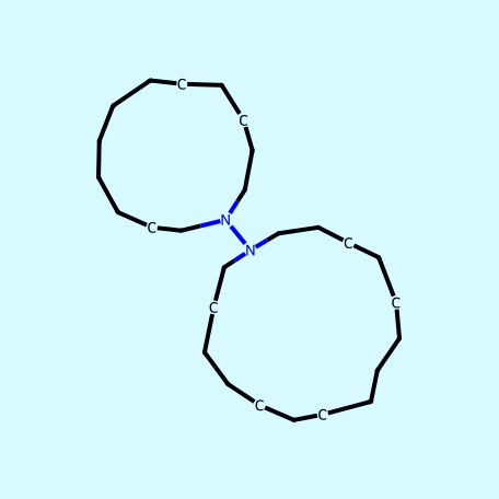 C1CCCCCCCN(N2CCCCCCCCCCCC2)CCCCCCC1